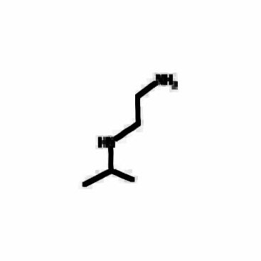 C[C](C)NCCN